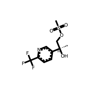 C[C@@](O)(COS(C)(=O)=O)c1ccc(C(F)(F)F)nc1